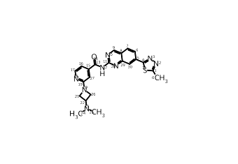 Cc1nnc(-c2ccc3cnc(NC(=O)c4ccnc(N5CC(N(C)C)C5)c4)nc3c2)s1